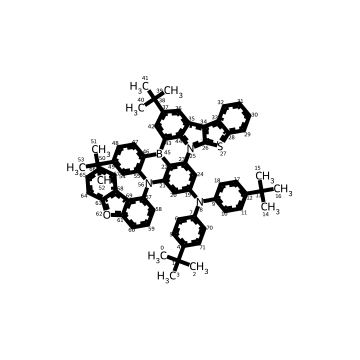 CC(C)(C)c1ccc(N(c2ccc(C(C)(C)C)cc2)c2cc3c4c(c2)-n2c5sc6ccccc6c5c5cc(C(C)(C)C)cc(c52)B4c2ccc(C(C)(C)C)cc2N3c2cccc3oc4ccccc4c23)cc1